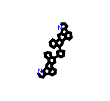 c1cc(-c2cc3c4cccc5c4c(cc3c3ccccc23)-c2ncccc2-5)cc(-c2cc3c4cccc5c4c(cc3c3ccccc23)-c2ncccc2-5)c1